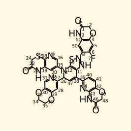 O=C1COc2cc(F)c(N3NC4=C(S3)N(c3cnc5c(c3)NC(=O)CS5)C(c3cc5c(cn3)OCCO5)[C]=C4c3ccc4c(n3)NC(=O)CO4)cc2N1